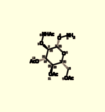 CC(=O)NO[C@H]1[C@H](ON)O[C@H](COC(C)=O)[C@@H](OC(C)=O)[C@@H]1OC(C)=O